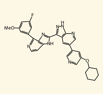 COc1cc(F)cc(-c2nccc3[nH]c(-c4n[nH]c5ncc(-c6cncc(OC7CCCCC7)c6)cc45)nc23)c1